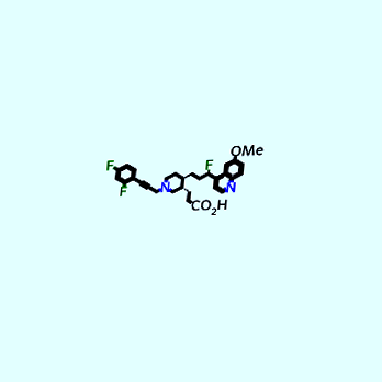 COc1ccc2nccc([C@H](F)CC[C@@H]3CCN(CC#Cc4ccc(F)cc4F)C[C@H]3CCC(=O)O)c2c1